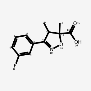 CC1C(c2cccc(F)c2)=NOC1(C)C(=O)O